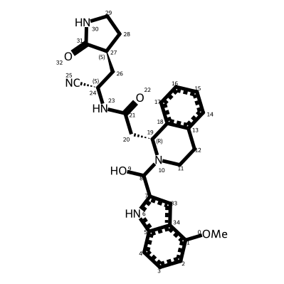 COc1cccc2[nH]c(C(O)N3CCc4ccccc4[C@H]3CC(=O)N[C@H](C#N)C[C@@H]3CCNC3=O)cc12